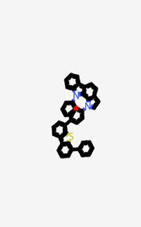 c1ccc(-c2cccc3c2sc2c(-c4ccc(-n5ccc6ccc7c8ccccc8n(-c8ccccc8)c7c65)cc4)cccc23)cc1